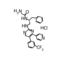 Cl.NCC(=O)N[C@H](CNc1ncc(-c2cccc(C(F)(F)F)c2)c(-c2ccncc2)n1)Cc1ccccc1